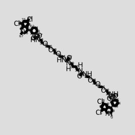 CN1Cc2c(Cl)cc(Cl)cc2[C@H](c2cccc(S(=O)(=O)NCCOCCOCCOCCNC(=O)NCCCCNC(=O)NCCOCCOCCOCCNS(=O)(=O)C3CCCC([C@@H]4CN(C)Cc5c(Cl)cc(Cl)cc54)C3)c2)C1